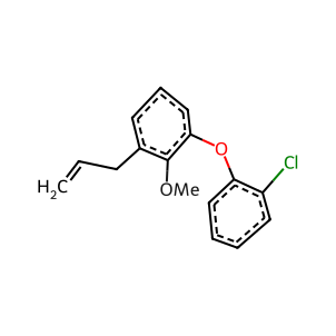 C=CCc1cccc(Oc2ccccc2Cl)c1OC